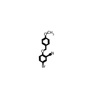 COc1ccc(COc2ccc(Br)cc2C#N)cc1